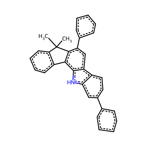 CC1(C)c2ccccc2-c2c1c(-c1ccccc1)cc1c2[nH]c2cc(-c3ccccc3)ccc21